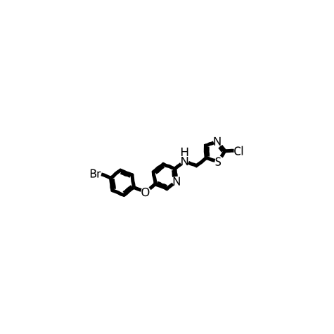 Clc1ncc(CNc2ccc(Oc3ccc(Br)cc3)cn2)s1